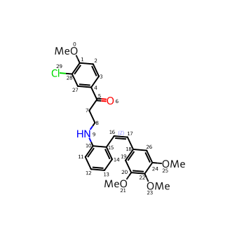 COc1ccc(C(=O)CCNc2ccccc2/C=C\c2cc(OC)c(OC)c(OC)c2)cc1Cl